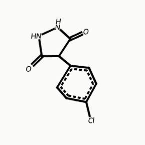 O=C1NNC(=O)C1c1ccc(Cl)cc1